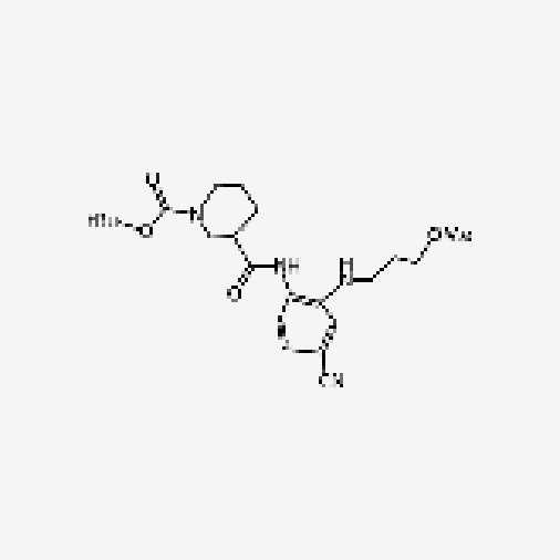 COCCCNc1cc(C#N)ccc1NC(=O)C1CCCN(C(=O)OC(C)(C)C)C1